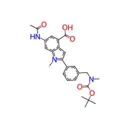 CC(=O)Nc1cc(C(=O)O)c2cc(-c3cccc(CN(C)C(=O)OC(C)(C)C)c3)n(C)c2c1